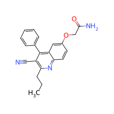 CCCc1nc2ccc(OCC(N)=O)cc2c(-c2ccccc2)c1C#N